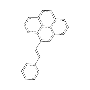 C(=Cc1cc2cccc3ccc4cccc1c4c32)c1ccccc1